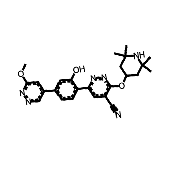 COc1cc(-c2ccc(-c3cc(C#N)c(OC4CC(C)(C)NC(C)(C)C4)nn3)c(O)c2)cnn1